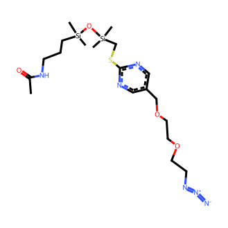 CC(=O)NCCC[Si](C)(C)O[Si](C)(C)CSc1ncc(COCCOCCN=[N+]=[N-])cn1